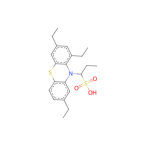 CCc1cc(CC)c2c(c1)Sc1ccc(CC)cc1N2C(CC)S(=O)(=O)O